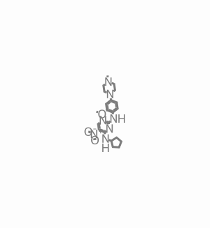 COc1cc(N2CCN(C)CC2)ccc1Nc1ncc([N+](=O)[O-])c(NC2CCCC2)n1